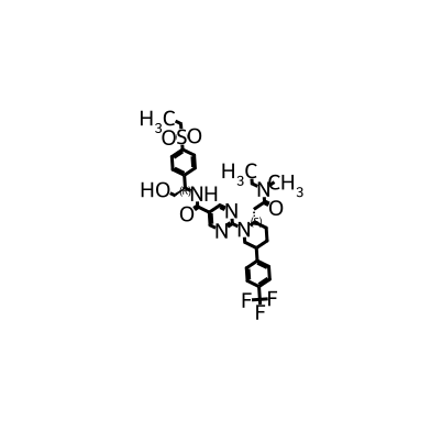 CCN(C)C(=O)C[C@@H]1CCC(c2ccc(C(F)(F)F)cc2)CN1c1ncc(C(=O)N[C@@H](CO)c2ccc(S(=O)(=O)CC)cc2)cn1